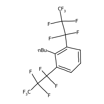 CCC[CH]c1c(C(F)(F)C(F)(F)C(F)(F)F)cccc1C(F)(F)C(F)(F)C(F)(F)F